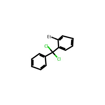 CCc1ccccc1C(Cl)(Cl)c1ccccc1